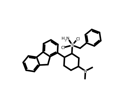 CN(C)C1CCC(c2cccc3c2Cc2ccccc2-3)[CH]([Ti]([NH2])([Cl])([Cl])[CH2]c2ccccc2)C1